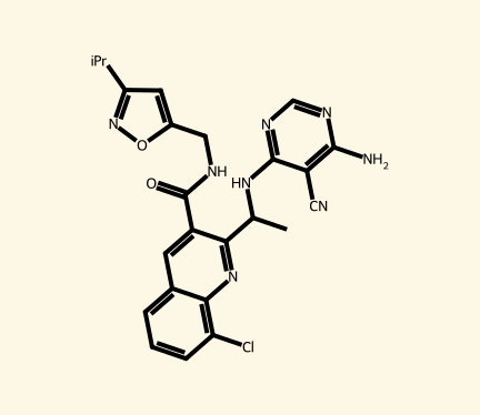 CC(C)c1cc(CNC(=O)c2cc3cccc(Cl)c3nc2C(C)Nc2ncnc(N)c2C#N)on1